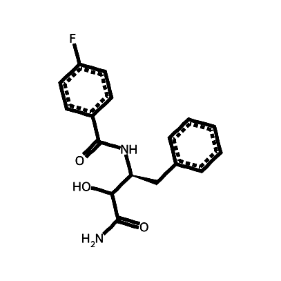 NC(=O)C(O)[C@H](Cc1ccccc1)NC(=O)c1ccc(F)cc1